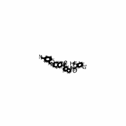 N#Cc1cccc(CN2CCC3(CC2)CCN(C(=O)c2ccc4c(c2)C(NC(=O)c2cc(Cl)ccc2F)CC4)CC3)c1